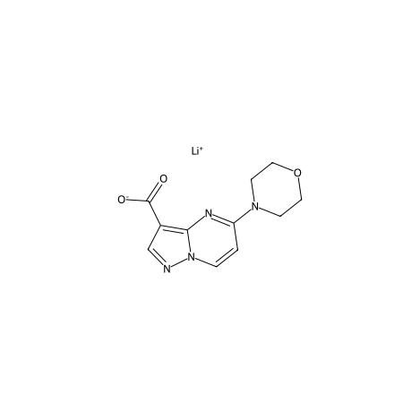 O=C([O-])c1cnn2ccc(N3CCOCC3)nc12.[Li+]